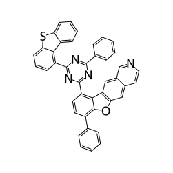 c1ccc(-c2nc(-c3cccc4sc5ccccc5c34)nc(-c3ccc(-c4ccccc4)c4oc5cc6ccncc6cc5c34)n2)cc1